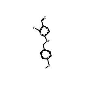 COc1ccc(CNc2ccc(C=O)c(F)n2)cc1